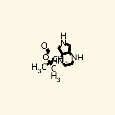 C1CNC2CNCC2N1.CC(C)(C)OC=O